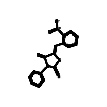 O=C1/C(=C/c2ccccc2[N+](=O)[O-])SC(=S)N1c1ccccc1